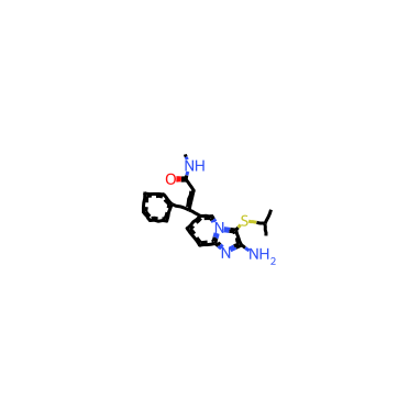 CNC(=O)C=C(c1ccccc1)c1ccc2nc(N)c(SC(C)C)n2c1